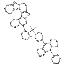 CC1(C)c2ccc(-c3c4ccccc4c(-c4ccccc4)c4ccccc34)cc2-c2cccc(-c3cc4oc5ccc6oc7ccccc7c6c5c4c4ccccc34)c21